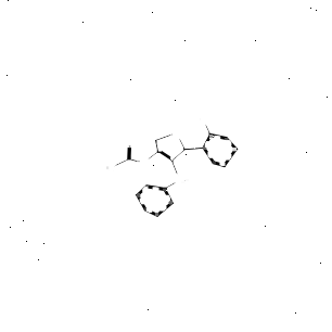 CCCCC(=O)OC1=C([Se]c2ccccc2)C(c2ccccc2C)OC1